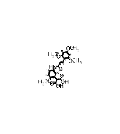 COc1cc(OC)c(C=CC(=O)Nc2ccc(OC)c(C(C(=O)O)C(=O)O)c2)c(OC)c1